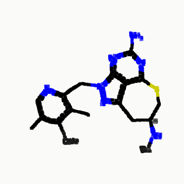 CCC(C)N[C@@H]1CSc2nc(N)nc3c2c(nn3Cc2ncc(C)c(OC)c2C)C1